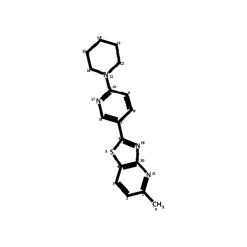 Cc1ccc2sc(-c3ccc(N4CCCCC4)nc3)nc2n1